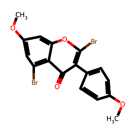 COc1ccc(-c2c(Br)oc3cc(OC)cc(Br)c3c2=O)cc1